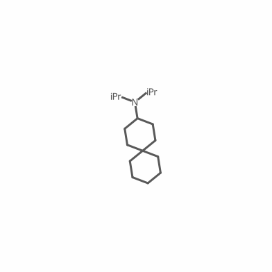 CC(C)N(C(C)C)C1CCC2(CCCCC2)CC1